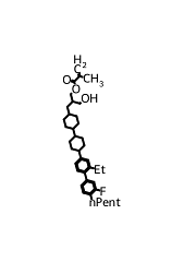 C=C(C)C(=O)OCC(CO)CC1CCC(C2CCC(c3ccc(-c4ccc(CCCCC)c(F)c4)c(CC)c3)CC2)CC1